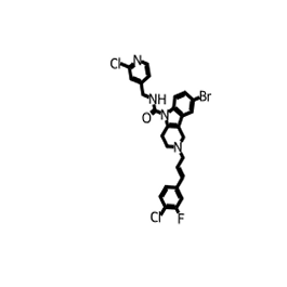 O=C(NCc1ccnc(Cl)c1)n1c2c(c3cc(Br)ccc31)CN(C/C=C/c1ccc(Cl)c(F)c1)CC2